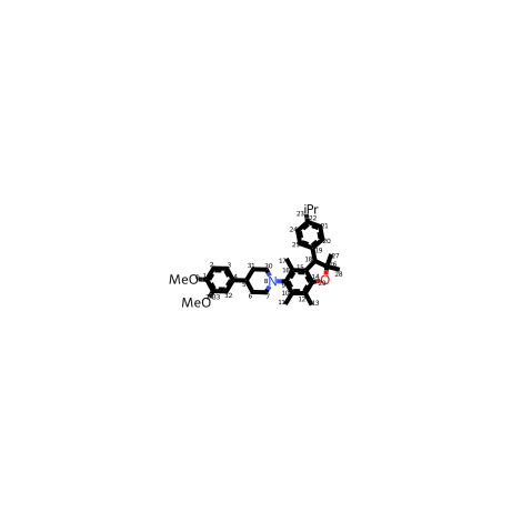 COc1ccc(C2CCN(c3c(C)c(C)c4c(c3C)C(c3ccc(C(C)C)cc3)C(C)(C)O4)CC2)cc1OC